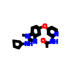 CC(=O)Nc1cc(Oc2ccc3c(c2)nc(NC2CCCC2)n3C)ccn1